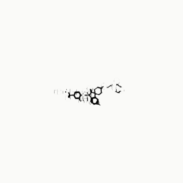 COc1cc(C(=O)NC(C)(C)C)ccc1S(=O)(=O)N1C(=O)C2(CCC(OCCN3CCOCC3=O)CC2)c2cc(C)ccc21